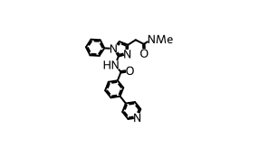 CNC(=O)Cc1cn(-c2ccccc2)c(NC(=O)c2cccc(-c3ccncc3)c2)n1